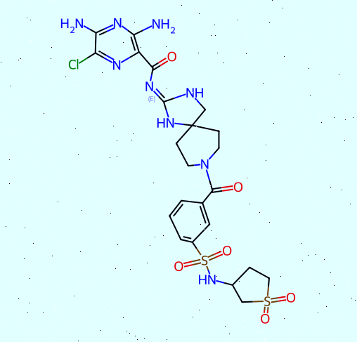 Nc1nc(N)c(C(=O)/N=C2\NCC3(CCN(C(=O)c4cccc(S(=O)(=O)NC5CCS(=O)(=O)C5)c4)CC3)N2)nc1Cl